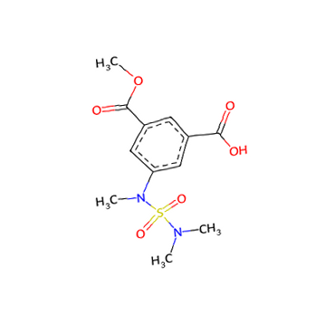 COC(=O)c1cc(C(=O)O)cc(N(C)S(=O)(=O)N(C)C)c1